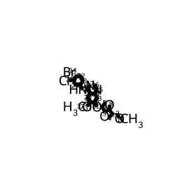 COC[C@H]1COC2C1OC[C@H]2Oc1cc2ncnc(Nc3ccc(Br)c(Cl)c3)c2cc1OC